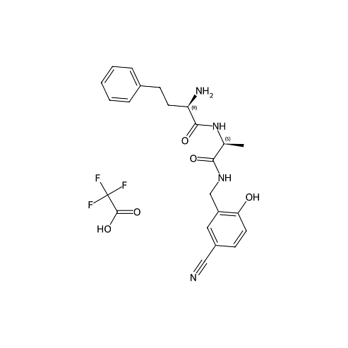 C[C@H](NC(=O)[C@H](N)CCc1ccccc1)C(=O)NCc1cc(C#N)ccc1O.O=C(O)C(F)(F)F